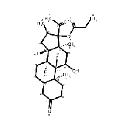 CCC(=O)O[C@]1(C(C)=O)C(C)C[C@H]2[C@@H]3CCC4CC(=O)CC[C@]4(C)[C@@]3(F)C(O)C[C@@]21C